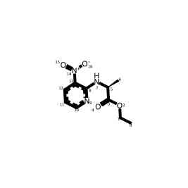 CCOC(=O)[C@H](C)Nc1ncccc1[N+](=O)[O-]